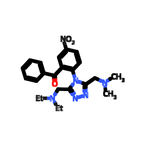 CCN(CC)Cc1nnc(CN(C)C)n1-c1ccc([N+](=O)[O-])cc1C(=O)c1ccccc1